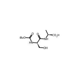 CC(C)COC(=O)N[C@H](CO)C(=O)N[C@@H](C)C(=O)O